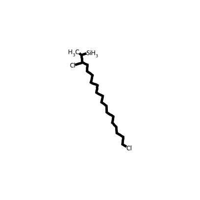 CC([SiH3])C(Cl)CCCCCCCCCCCCCCCCCl